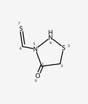 O=C1CSNN1C=S